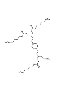 CCCCCCCCCCCCCCOC(=O)CCN(CCN)CCN1CCN(CCN(CCC(=O)OCCCCCCCCCCCCCC)CCC(=O)OCCCCCCCCCCCCCC)CC1